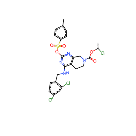 Cc1ccc(S(=O)(=O)Oc2nc3c(c(NCc4ccc(Cl)cc4Cl)n2)CCN(C(=O)OC(C)Cl)C3)cc1